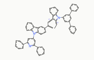 C=C(/C=c1\c(=C/C)n(-c2cc(-c3ccccc3)cc(-c3ccccc3)c2)c2ccccc12)c1ccc2c(c1)c1ccccc1n2-c1cc(-c2ccccc2)nc(-c2ccccc2)c1